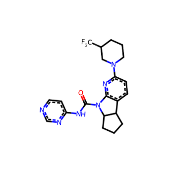 O=C(Nc1ccncn1)N1c2nc(N3CCCC(C(F)(F)F)C3)ccc2C2CCCC21